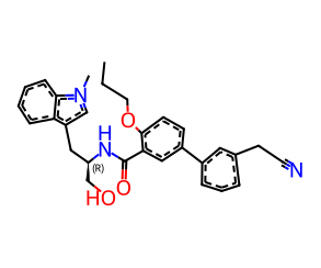 CCCOc1ccc(-c2cccc(CC#N)c2)cc1C(=O)N[C@@H](CO)Cc1cn(C)c2ccccc12